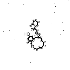 Cc1cc(O)cc2c1COCC/C=C/CC/C=C/C(=N/OCC(=O)N1CCCCC1C)C2